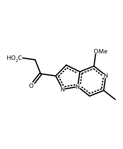 COc1nc(C)cn2nc(C(=O)CC(=O)O)cc12